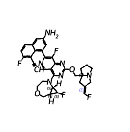 C#Cc1c(F)ccc2cc(N)cc(-c3ncc4c(N5CCOC[C@H]6[C@H](F)[C@H]65)nc(OC[C@@]56CCCN5C/C(=C\F)C6)nc4c3F)c12